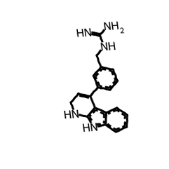 N=C(N)NCc1cccc(C2=CCNc3[nH]c4ccccc4c32)c1